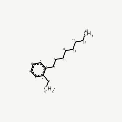 [CH2]Cc1ccccc1CCCCCCCC